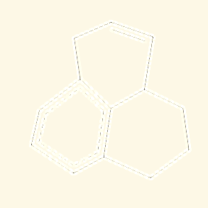 C1=CC2CCCc3cccc(c32)C1